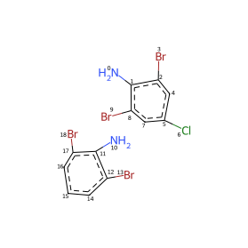 Nc1c(Br)cc(Cl)cc1Br.Nc1c(Br)cccc1Br